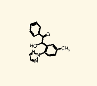 Cc1ccc(-n2nccn2)c(C(O)C(=O)c2ccccc2)c1